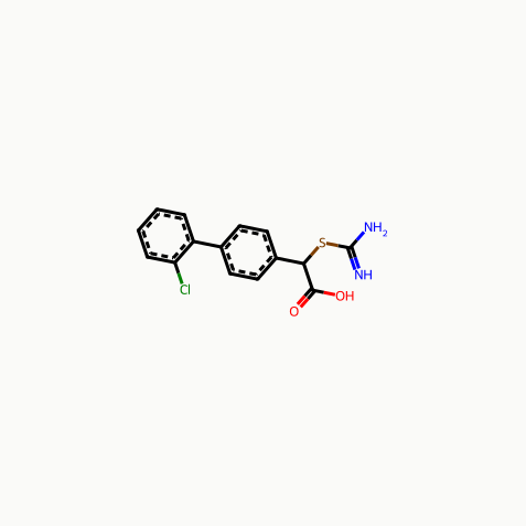 N=C(N)SC(C(=O)O)c1ccc(-c2ccccc2Cl)cc1